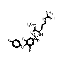 COC(=O)[C@@H](CCCNC(=N)N)NS(=O)(=O)c1cc(F)c(Oc2ccc(F)cc2)c(F)c1